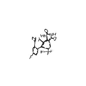 N#Cc1cc(F)ccc1-c1c(C(F)(F)F)cc2c(=O)[nH]c(=O)[nH]c2c1I